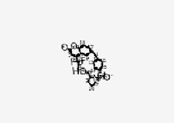 O=c1cc(C(F)(F)F)c2cc(Cc3ccc([S+]([O-])N4CCCC4CO)cc3)ccc2o1